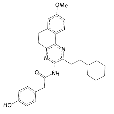 COc1ccc2c(c1)CCc1nc(NC(=O)Cc3ccc(O)cc3)c(CCC3CCCCC3)nc1-2